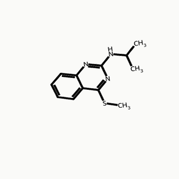 CSc1nc(NC(C)C)nc2ccccc12